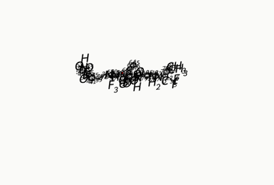 C=C(CCC(F)F)C1=C(CN2CCN(c3ccc(C(=O)NS(=O)(=O)c4ccc(N[C@H](CCN5CCN(CCCCc6ccc7c(c6)CN(C6CCC(=O)NC6=O)C7=O)CC5)CSc5ccccc5)c(S(=O)(=O)C(F)(F)F)c4)cc3)CC2)CCC(C)(C)C1